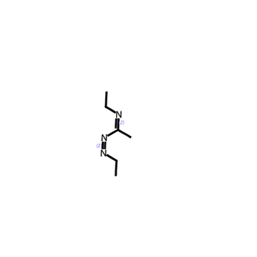 CC/N=N\C(C)=N/CC